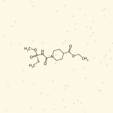 CCOC(=O)C1CCN(C(=O)NP(=O)(OC)SC)CC1